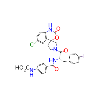 O=C(O)Nc1ccc(C(=O)N[C@@H](Cc2ccc(I)cc2)C(=O)N2CCC3(C2)OC(=O)Nc2ccc(Cl)cc23)cc1